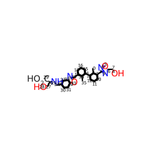 Cc1c(-c2noc(CO)n2)cccc1-c1cccc(-c2nc3cc(CN[C@H](CO)C(=O)O)ccc3o2)c1C